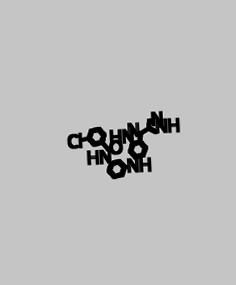 O=C(Nc1cccc(Nc2ccc3c(-c4cn[nH]c4)n[nH]c3c2)c1)c1cccc(Cl)c1